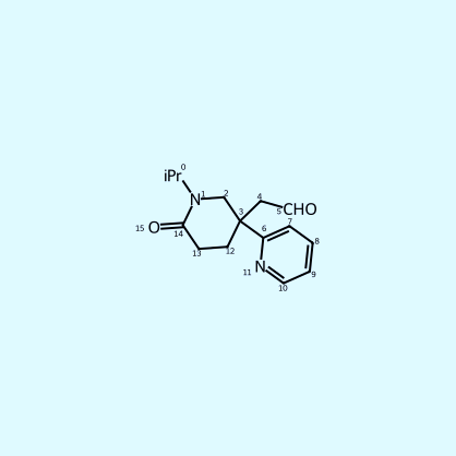 CC(C)N1CC(CC=O)(c2ccccn2)CCC1=O